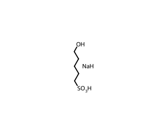 O=S(=O)(O)CCCCCO.[NaH]